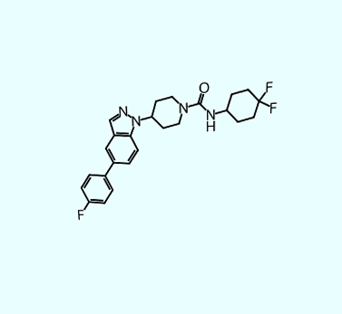 O=C(NC1CCC(F)(F)CC1)N1CCC(n2ncc3cc(-c4ccc(F)cc4)ccc32)CC1